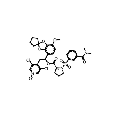 COc1ccc(C(Cc2c(Cl)c[n+]([O-])cc2Cl)OC(=O)[C@@H]2CCCN2S(=O)(=O)c2cccc(C(=O)N(C)C)c2)c2c1OC1(CCCC1)O2